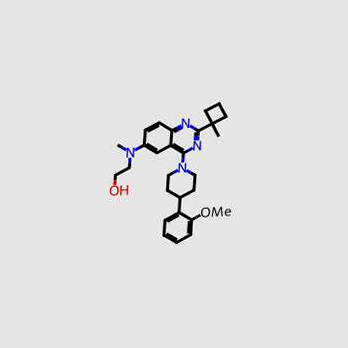 COc1ccccc1C1CCN(c2nc(C3(C)CCC3)nc3ccc(N(C)CCO)cc23)CC1